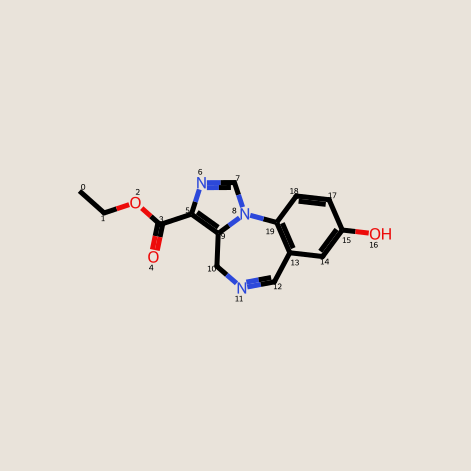 CCOC(=O)c1ncn2c1CN=Cc1cc(O)ccc1-2